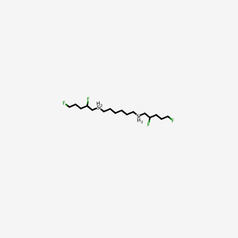 FCCCC(F)C[SiH2]CCCCCC[SiH2]CC(F)CCCF